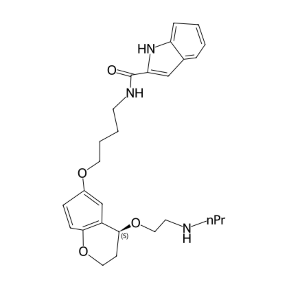 CCCNCCO[C@H]1CCOc2ccc(OCCCCNC(=O)c3cc4ccccc4[nH]3)cc21